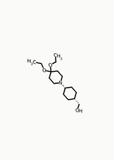 CCOC1(OCC)CCN([C@H]2CC[C@@H](CO)CC2)CC1